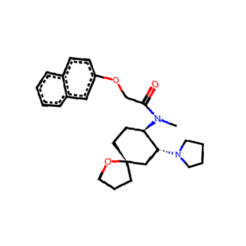 CN(C(=O)COc1ccc2ccccc2c1)[C@@H]1CC[C@]2(CCCO2)C[C@H]1N1CCCC1